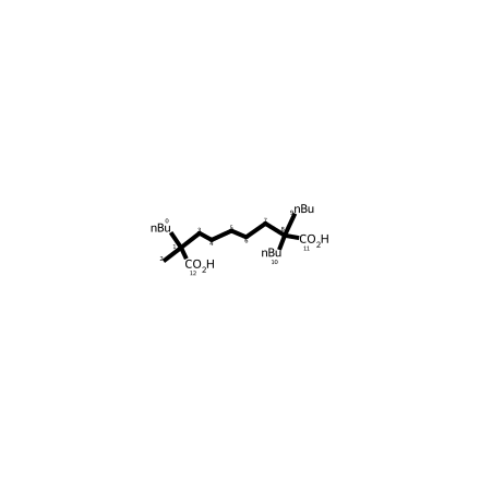 CCCCC(C)(CCCCCC(CCCC)(CCCC)C(=O)O)C(=O)O